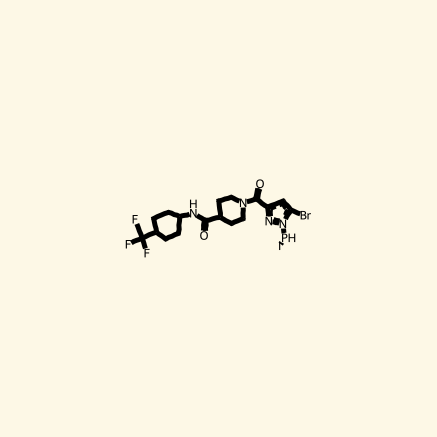 O=C(NC1CCC(C(F)(F)F)CC1)C1CCN(C(=O)c2cc(Br)n(PI)n2)CC1